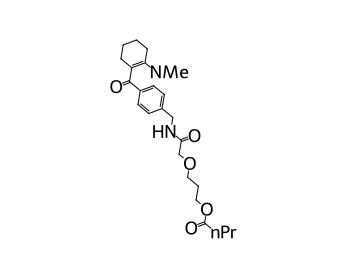 CCCC(=O)OCCCOCC(=O)NCc1ccc(C(=O)C2=C(NC)CCCC2)cc1